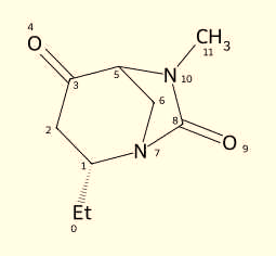 CC[C@@H]1CC(=O)C2CN1C(=O)N2C